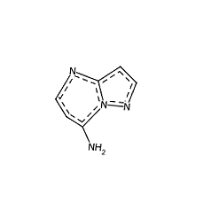 Nc1ccnc2ccnn12